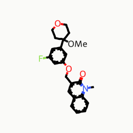 COC1(c2cc(F)cc(OCc3cc4ccccc4n(C)c3=O)c2)CCOCC1